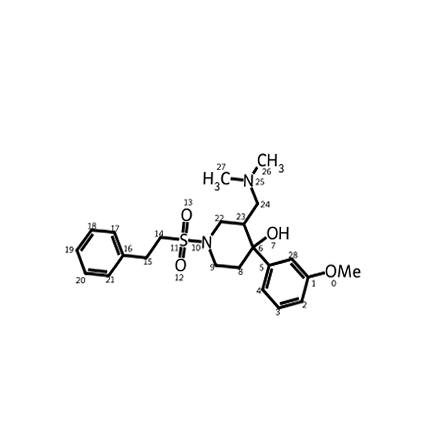 COc1cccc(C2(O)CCN(S(=O)(=O)CCc3ccccc3)CC2CN(C)C)c1